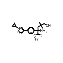 CC(C)OC(=O)C(N)(CC(C)(C)CC#N)c1ccc(-c2cnn(C3CC3)c2)cc1